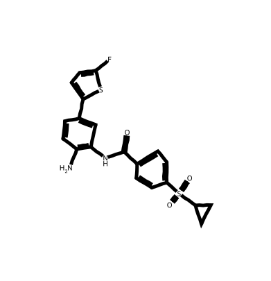 Nc1ccc(-c2ccc(F)s2)cc1NC(=O)c1ccc(S(=O)(=O)C2CC2)cc1